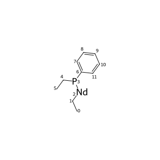 C[CH2][Nd][P](CC)c1ccccc1